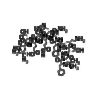 CC(C)C[C@H](NC(=O)[C@H](CC(=O)O)NC(=O)[C@H](CCC(=O)O)NC(=O)[C@H](C)NC(=O)[C@H](CCC(=O)O)NC(=O)[C@H](Cc1c[nH]cn1)NC(=O)[C@H](CC(N)=O)NC(=O)[C@H](Cc1ccccc1)NC(=O)[C@H](CCCCN)NC(=O)[C@H](CC(=O)O)NC(=O)[C@H](CC(C)C)NC(=O)[C@@H](N)Cc1ccccc1)C(=O)O